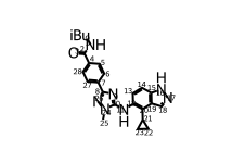 CCC(C)NC(=O)c1ccc(-c2nc(Nc3ccc4[nH]ncc4c3C3CC3)n(C)n2)cc1